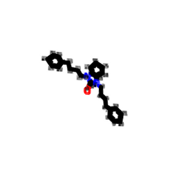 O=c1n(CCCCc2ccccc2)c2ccccc2n1CCCCc1ccccc1